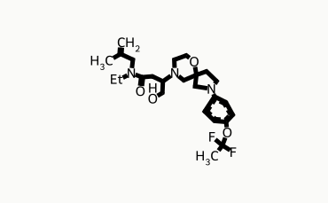 C=C(C)CN(CC)C(=O)CC(CO)N1CCOC2(CCN(c3ccc(OC(C)(F)F)cc3)C2)C1